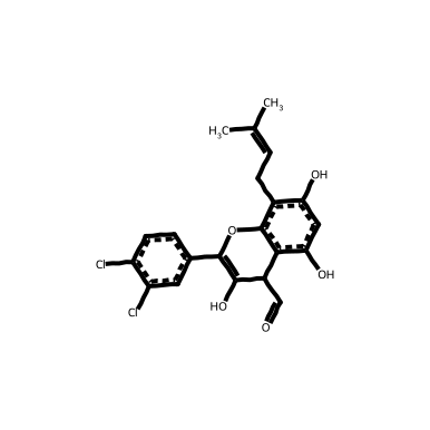 CC(C)=CCc1c(O)cc(O)c2c1OC(c1ccc(Cl)c(Cl)c1)=C(O)C2C=O